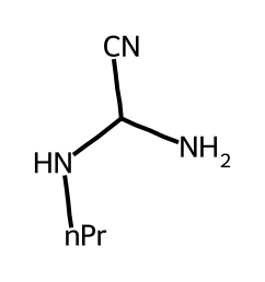 CCCNC(N)C#N